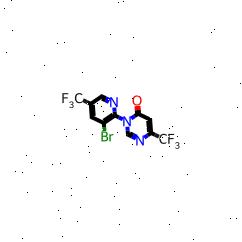 O=c1cc(C(F)(F)F)ncn1-c1ncc(C(F)(F)F)cc1Br